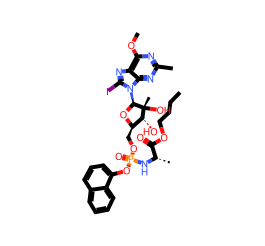 CCCCOC(=O)[C@H](C)NP(=O)(OC[C@H]1O[C@@H](n2c(I)nc3c(OC)nc(C)nc32)[C@](C)(O)[C@@H]1O)Oc1cccc2ccccc12